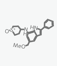 COCc1cc(NC2CC[S+]([O-])CC2)c2[nH]c(-c3ccccc3)cc2c1